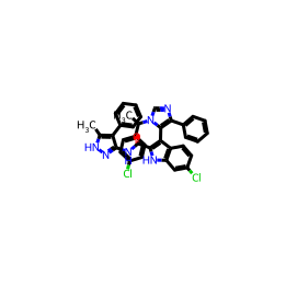 Cc1[nH]nc(NC(=O)c2[nH]c3cc(Cl)ccc3c2-c2c(-c3ccccc3)ncn2C(C)c2ccc(Cl)cc2)c1-c1ccccc1